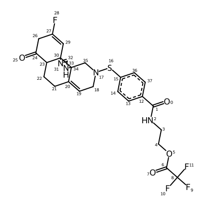 O=C(NCCOC(=O)C(F)(F)F)c1ccc(SN2CC=C3CCC4C(=O)CC(F)=CC45N=CNC35C2)cc1